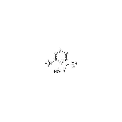 Nc1ccccc1.OCCO